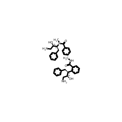 CN(C(=O)c1ccccc1)[C@@H](Cc1ccccc1)[C@H](O)CN.CNC(=O)c1ccccc1[C@H](Cc1ccccc1)[C@@H](O)CN